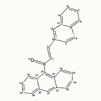 O=C(/C=C/c1ccc2ccccc2c1)c1c2ccccc2cc2ccccc12